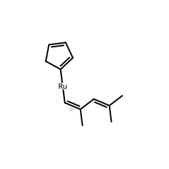 CC(C)=C/C(C)=[CH]\[Ru][C]1=CC=CC1